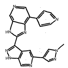 Cn1cc(-c2cc3c(-c4nc5c(-c6ccncc6)cncc5[nH]4)n[nH]c3cn2)cn1